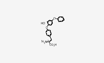 Cl.N[C@@H](Cc1ccc(Oc2ccc(Oc3ccccc3)cc2)cc1)C(=O)O